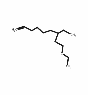 C=CCCCCC(CC)CCOCC